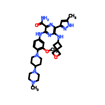 Cc1cc(-c2nc(C(N)=O)c(Nc3ccc(N4CCC(N5CCN(C)CC5)CC4)c(OC(F)(F)F)c3)nc2NC2CC3(COC3)C2)n[nH]1